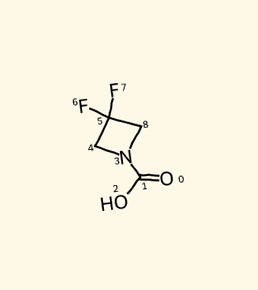 O=C(O)N1CC(F)(F)C1